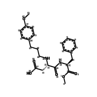 COC(=O)[C@H](Cc1ccccc1)NC(=O)[C@H](CC(=O)O)NCCCc1ccc(OC)cc1